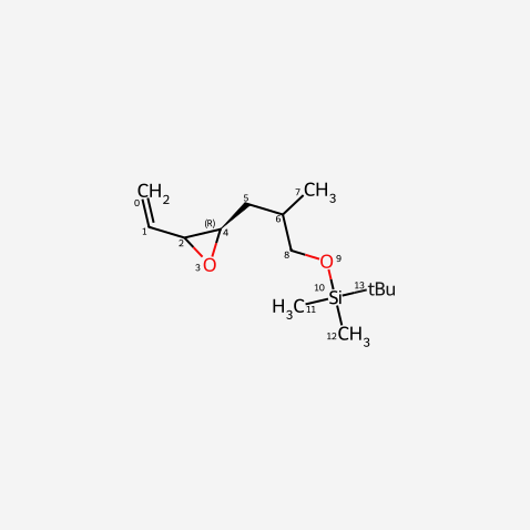 C=CC1O[C@@H]1CC(C)CO[Si](C)(C)C(C)(C)C